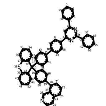 c1ccc(-c2cc(-c3ccc(-c4ccc(C5(c6ccc(-c7cccc8ccncc78)cc6)c6ccccc6Sc6ccccc65)cc4)cc3)nc(-c3ccccc3)n2)cc1